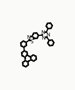 c1ccc(-c2nc(-c3ccccc3)nc(-c3ccc4nc(-c5cccc(-c6ccc7c8ccccc8c8ccccc8c7c6)c5)sc4c3)n2)cc1